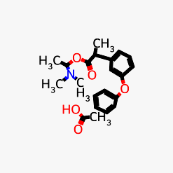 CC(=O)O.CC(C(=O)OC(C)N(C)C)c1cccc(Oc2ccccc2)c1